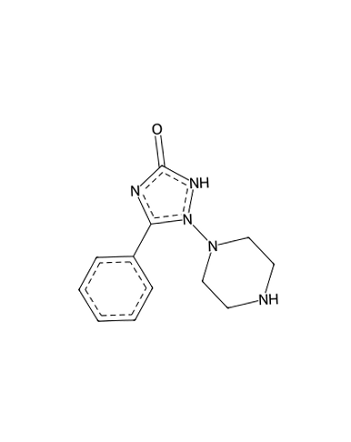 O=c1nc(-c2ccccc2)n(N2CCNCC2)[nH]1